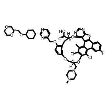 Cc1c(Cl)c2c(Cl)c3c4cc(F)ccc4c4sc5ncnc(c5c4c13)O[C@@H](C(=O)O)Cc1cc(ccc1OCc1ccnc([C@H]3CC[C@H](OC[C@@H]4COCCO4)CC3)n1)OC[C@@H](CN1CCN(C)CC1)O2